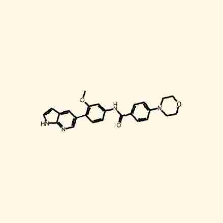 COc1cc(NC(=O)c2ccc(N3CCOCC3)cc2)ccc1-c1cnc2[nH]ccc2c1